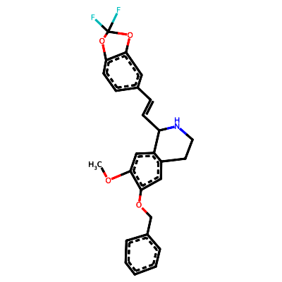 COc1cc2c(cc1OCc1ccccc1)CCNC2C=Cc1ccc2c(c1)OC(F)(F)O2